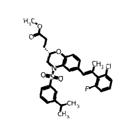 COC(=O)CC[C@H]1CN(S(=O)(=O)c2cccc(C(C)C)c2)c2cc(/C=C(\C)c3c(F)cccc3Cl)ccc2O1